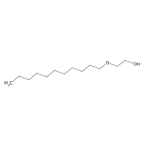 CCCCCCCCCCCOCCO